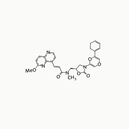 COc1ccc2nccc(/C=C/C(=O)N(C)C[C@H]3CN(C4=COC=C(C5=CC=CCC5)O4)C(=O)O3)c2n1